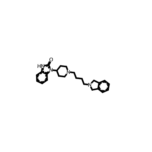 O=c1[nH]c2ccccc2n1C1CCN(CCCCN2Cc3ccccc3C2)CC1